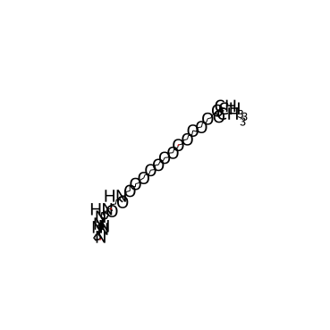 CC(C)(C)OC(=O)CCOCCOCCOCCOCCOCCOCCOCCOCCOCCOCCOCCOCCNC(=O)CCCC(=O)Nc1ccc(-c2nnc(-c3ccccn3)nn2)nc1